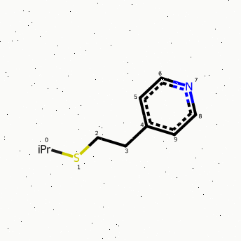 CC(C)SCCc1ccncc1